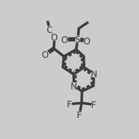 CCOC(=O)c1cc2nc(C(F)(F)F)cnc2cc1S(=O)(=O)CC